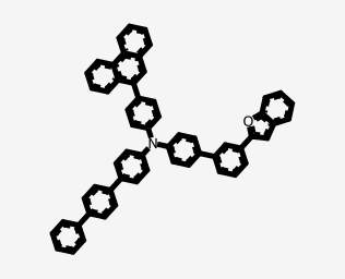 c1ccc(-c2ccc(-c3ccc(N(c4ccc(-c5cccc(-c6cc7ccccc7o6)c5)cc4)c4ccc(-c5cc6ccccc6c6ccccc56)cc4)cc3)cc2)cc1